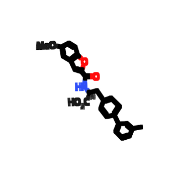 COc1ccc2oc(C(=O)N[C@@H](Cc3ccc(-c4cccc(C)c4)cc3)C(=O)O)cc2c1